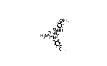 COc1ccc(CN2CCN(C(=O)Nc3ccc(OC)cc3)CC2CC(N)=O)cc1